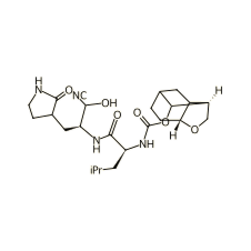 CC(C)C[C@H](NC(=O)OC1C2CC[C@H]3OC[C@@H]1C3C2)C(=O)N[C@@H](CC1CCNC1=O)C(O)C#N